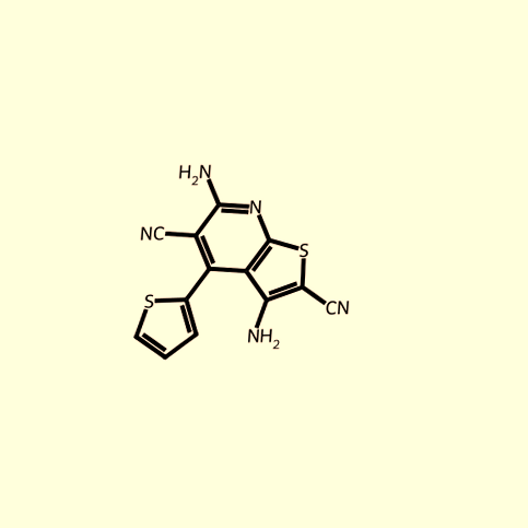 N#Cc1sc2nc(N)c(C#N)c(-c3cccs3)c2c1N